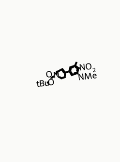 CNc1cc(C2=CCN(C(=O)OC(C)(C)C)CC2)cc(C)c1[N+](=O)[O-]